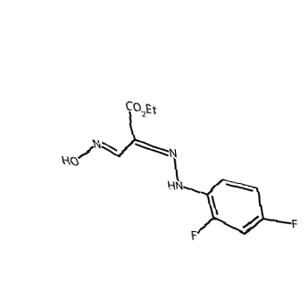 CCOC(=O)C(/C=N/O)=N/Nc1ccc(F)cc1F